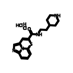 Cl.Cl.O=C(NCCC1CCNCC1)C1=Cc2cnc3cccc(n23)S1